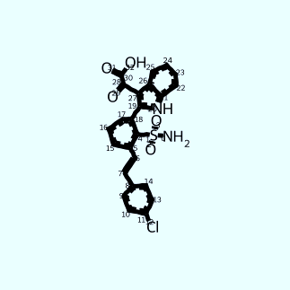 NS(=O)(=O)c1c(C=Cc2ccc(Cl)cc2)cccc1-c1[nH]c2ccccc2c1C(=O)C(=O)O